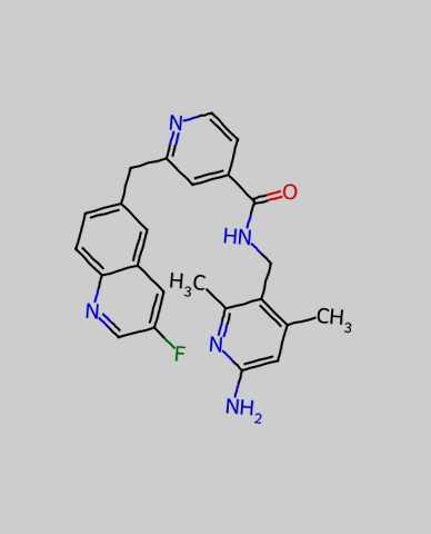 Cc1cc(N)nc(C)c1CNC(=O)c1ccnc(Cc2ccc3ncc(F)cc3c2)c1